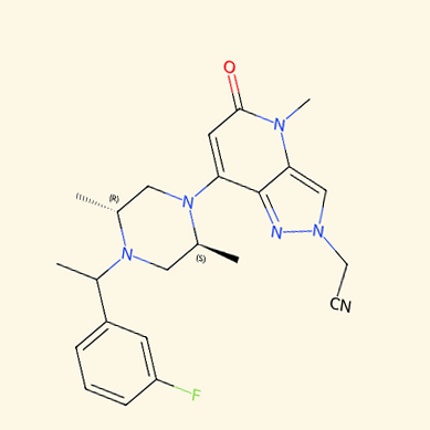 CC(c1cccc(F)c1)N1C[C@H](C)N(c2cc(=O)n(C)c3cn(CC#N)nc23)C[C@H]1C